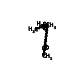 CCCCCOC(=O)CCCCCCCCCCCCCCC(C)C(C)C(=O)OCCCCC